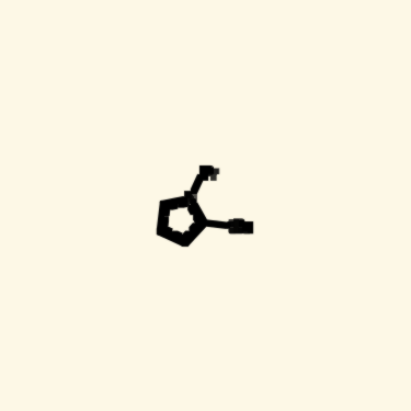 CC(C)n1cccc1C(C)(C)C